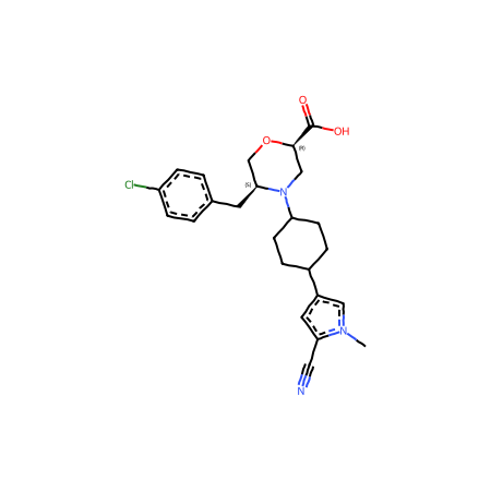 Cn1cc(C2CCC(N3C[C@H](C(=O)O)OC[C@@H]3Cc3ccc(Cl)cc3)CC2)cc1C#N